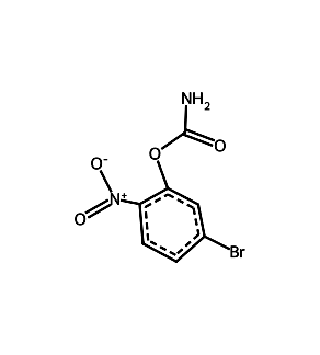 NC(=O)Oc1cc(Br)ccc1[N+](=O)[O-]